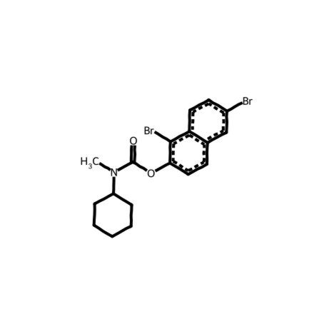 CN(C(=O)Oc1ccc2cc(Br)ccc2c1Br)C1CCCCC1